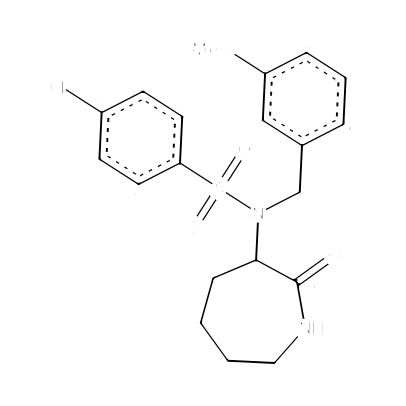 COc1cccc(CN(C2CCCCNC2=O)S(=O)(=O)c2ccc(Cl)cc2)c1